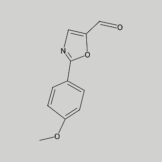 COc1ccc(-c2ncc(C=O)o2)cc1